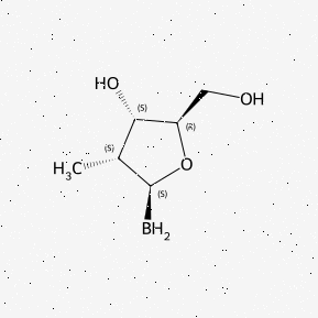 B[C@@H]1O[C@H](CO)[C@@H](O)[C@H]1C